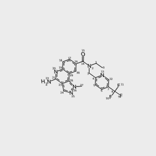 CCN(Cc1ccc(C(F)(F)F)cn1)C(=O)c1ccc2nc(N)c3cnn(C)c3c2c1